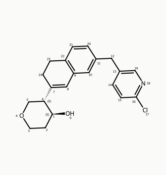 O[C@H]1CCOC[C@@H]1C1=Cc2cc(Cc3ccc(Cl)nc3)ccc2CC1